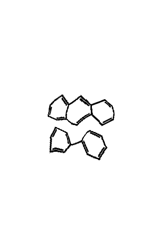 c1ccc(-c2ccccc2)cc1.c1ccc2cc3ccccc3cc2c1